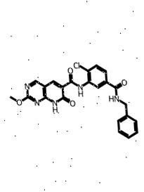 COc1ncc2cc(C(=O)Nc3cc(C(=O)NCc4ccccc4)ccc3Cl)c(=O)[nH]c2n1